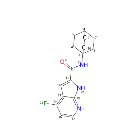 O=C(NC12CCC(CC1)CC2)c1cc2c(F)ccnc2[nH]1